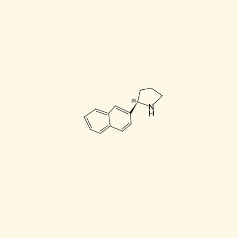 c1ccc2cc([C@H]3CCCN3)ccc2c1